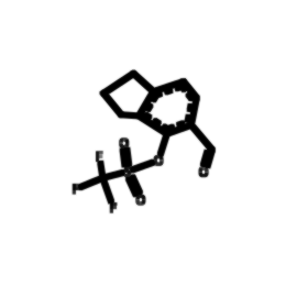 O=Cc1ccc2c(c1OS(=O)(=O)C(F)(F)F)CCC2